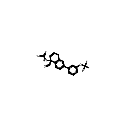 O=C[C@]1(NC(=O)O)C=CCc2cc(-c3cccc(OC(F)(F)F)c3)ccc21